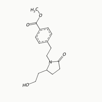 COC(=O)c1ccc(CCN2C(=O)CCC2CCO)cc1